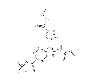 C=CC(=O)Nc1sc2c(c1-c1nc(C(=O)OCC)cs1)CCN(C(=O)OC(C)(C)C)C2